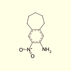 Nc1cc2c(cc1[N+](=O)[O-])CCCCC2